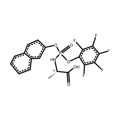 C[C@H](NP(=O)(Oc1ccc2ccccc2c1)Oc1c(F)c(F)c(F)c(F)c1F)C(=O)O